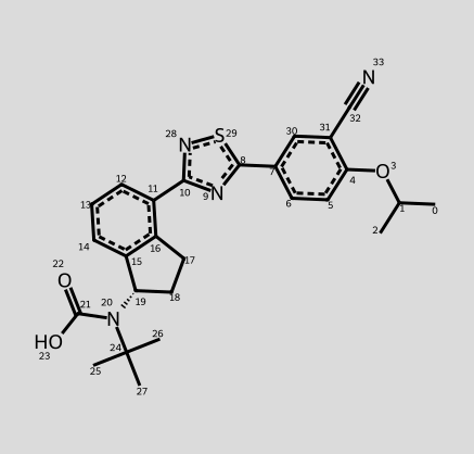 CC(C)Oc1ccc(-c2nc(-c3cccc4c3CC[C@@H]4N(C(=O)O)C(C)(C)C)ns2)cc1C#N